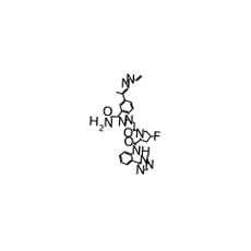 C=C/N=N\C=C(/C)c1ccc2c(c1)c(C(N)=O)nn2CC(=O)N1CC(F)CC1C(=O)Nc1ccccc1-c1nncn1C